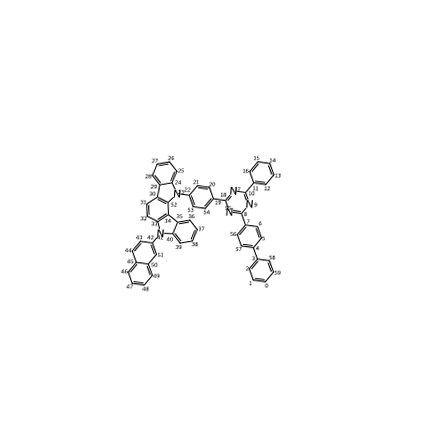 c1ccc(-c2ccc(-c3nc(-c4ccccc4)nc(-c4ccc(-n5c6ccccc6c6ccc7c(c8ccccc8n7-c7ccc8ccccc8c7)c65)cc4)n3)cc2)cc1